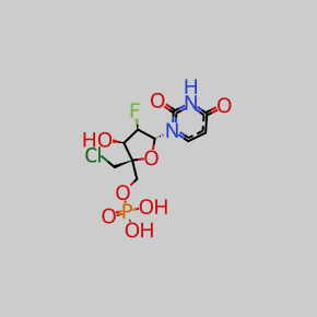 O=c1ccn([C@@H]2O[C@](CCl)(COP(=O)(O)O)[C@@H](O)[C@H]2F)c(=O)[nH]1